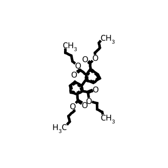 CCCCOC(=O)c1cccc(-c2cccc(C(=O)OCCCC)c2C(=O)OCCCC)c1C(=O)OCCCC